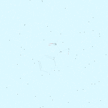 O=C([O-])C1(c2ccccc2)CO1.[K+]